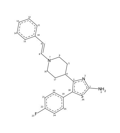 Nc1nc(C2CCN(C=Cc3ccccc3)CC2)c(-c2ccc(F)cc2)s1